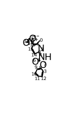 Cc1nc(NC(=O)Oc2ccccc2)ccc1[N+](=O)[O-]